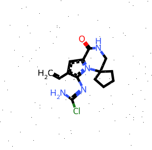 C=Cc1cc2n(c1/N=C(\N)Cl)C1(CCCC1)CNC2=O